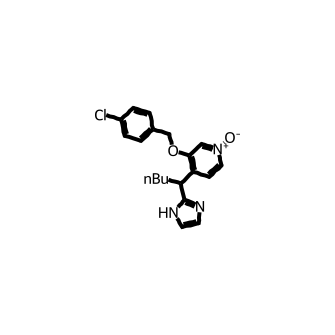 CCCCC(c1ncc[nH]1)c1cc[n+]([O-])cc1OCc1ccc(Cl)cc1